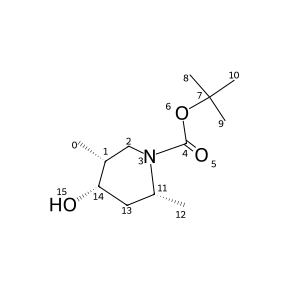 C[C@@H]1CN(C(=O)OC(C)(C)C)[C@H](C)C[C@@H]1O